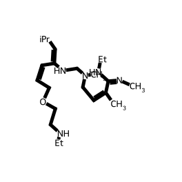 CCNCCOC/C=C\C(=C/C(C)C)NCN(C)C/C=C(C)\C(=N/C)NCC